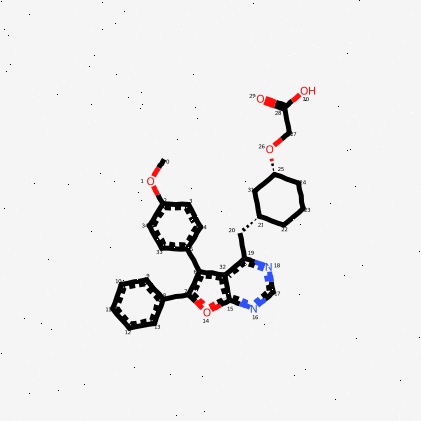 COc1ccc(-c2c(-c3ccccc3)oc3ncnc(C[C@H]4CCC[C@@H](OCC(=O)O)C4)c23)cc1